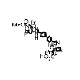 COC(=O)N[C@H](C(=O)N1C[C@@H](F)C[C@H]1c1ncc(-c2ccc(-c3ccc(-c4cnc([C@@H]5C[C@H](F)CN5C(=O)[C@H](C(C)C)N(C)C(=O)O)[nH]4)cc3)cc2)[nH]1)C(C)C